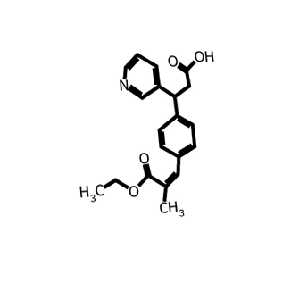 CCOC(=O)C(C)=Cc1ccc(C(CC(=O)O)c2cccnc2)cc1